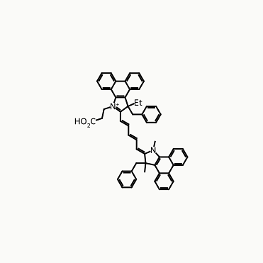 CCC1(Cc2ccccc2)C(/C=C/C=C/C=C2\N(C)c3c(c4ccccc4c4ccccc34)C2(C)Cc2ccccc2)=[N+](CCC(=O)O)c2c1c1ccccc1c1ccccc21